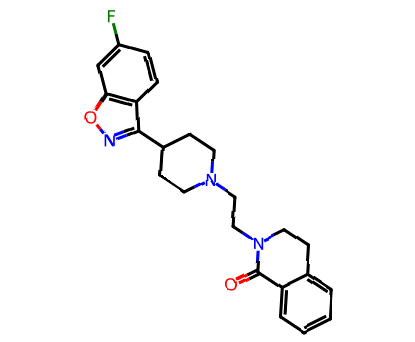 O=C1c2ccccc2CCN1CCN1CCC(c2noc3cc(F)ccc23)CC1